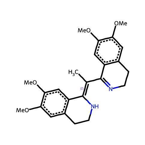 COc1cc2c(cc1OC)C(/C(C)=C1\NCCc3cc(OC)c(OC)cc31)=NCC2